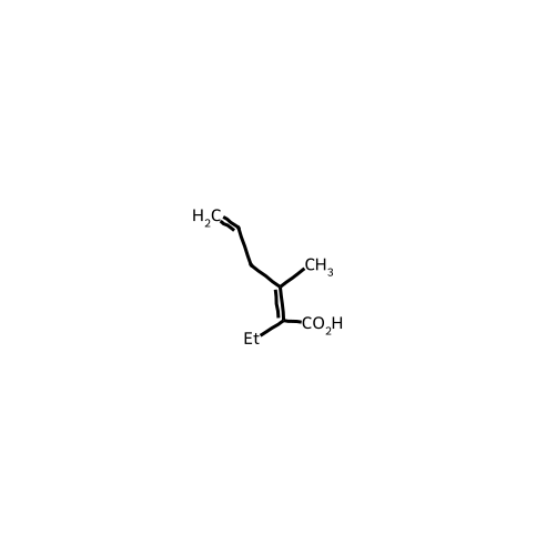 C=CCC(C)=C(CC)C(=O)O